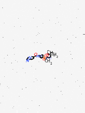 C=C(/C=C\C=C(/C)S(=O)(=O)c1ccc(CNC(=O)c2ccc3nccn3c2)cc1)C(C)=O